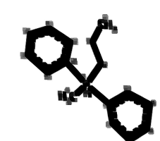 CCC[PH](C)(c1ccccc1)c1ccccc1